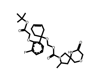 CC1CC2(COCC(=O)N2)CN1C(=O)OCOC1(c2cccc(F)c2OCC(=O)OC(C)(C)C)CC=CCC1